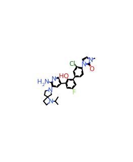 CC(C)N1CCC12CCN(c1cc(-c3cc(F)cc(-c4ccc(-n5ccn(C)c5=O)c(Cl)c4)c3O)cnc1N)C2